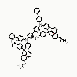 C=Cc1ccc(CC2(c3ccc(C)cc3)c3ccccc3-c3ccc(N(c4ccc(-c5ccccc5)cc4)c4ccc(-c5ccc(N(c6ccc(-c7ccccc7)cc6)c6ccc7c(c6)C(Cc6ccc(C=C)cc6)(c6ccc(C(F)(F)F)cc6)c6ccccc6-7)cc5)cc4)cc32)cc1